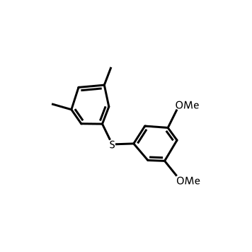 COc1cc(OC)cc(Sc2cc(C)cc(C)c2)c1